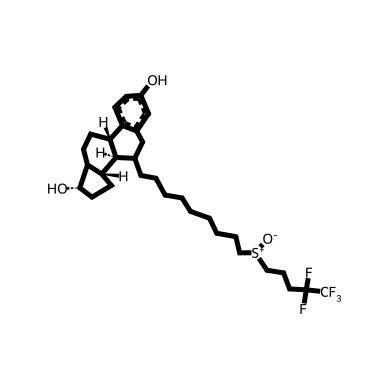 [O-][S+](CCCCCCCCCC1Cc2cc(O)ccc2[C@H]2CCC3[C@@H](CC[C@@H]3O)[C@H]12)CCCC(F)(F)C(F)(F)F